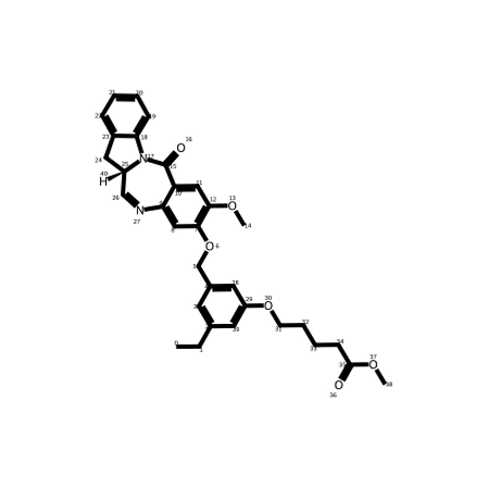 CCc1cc(COc2cc3c(cc2OC)C(=O)N2c4ccccc4C[C@H]2C=N3)cc(OCCCCC(=O)OC)c1